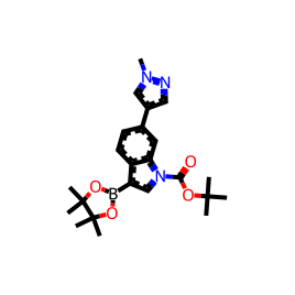 Cn1cc(-c2ccc3c(B4OC(C)(C)C(C)(C)O4)cn(C(=O)OC(C)(C)C)c3c2)cn1